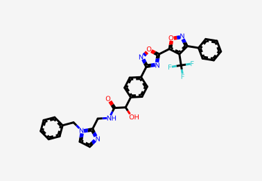 O=C(NCc1nccn1Cc1ccccc1)C(O)c1ccc(-c2noc(-c3onc(-c4ccccc4)c3C(F)(F)F)n2)cc1